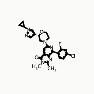 Cc1nc2c(-c3ccc(Cl)cc3F)nc(N3CCO[C@@H](c4cnn(C5CC5)c4)C3)cc2c(=O)n1C